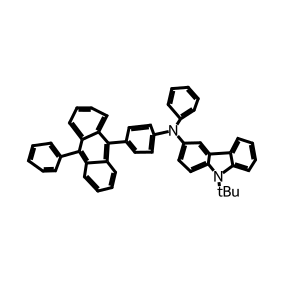 CC(C)(C)n1c2ccccc2c2cc(N(c3ccccc3)c3ccc(-c4c5ccccc5c(-c5ccccc5)c5ccccc45)cc3)ccc21